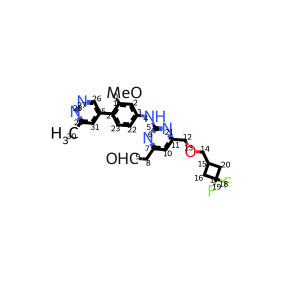 COc1cc(Nc2nc(CC=O)cc(COCC3CC(F)(F)C3)n2)ccc1-c1cnnc(C)c1